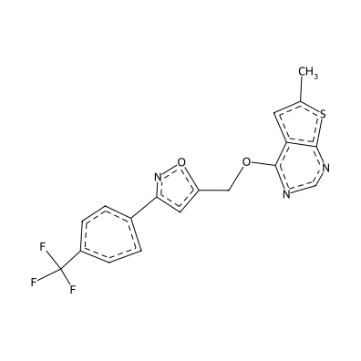 Cc1cc2c(OCc3cc(-c4ccc(C(F)(F)F)cc4)no3)ncnc2s1